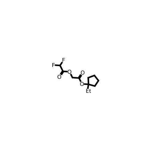 CCC1(OC(=O)COC(=O)C(F)F)CCCC1